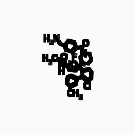 CC(=O)NCCC[C@@](O)(c1cccc(Cl)c1-c1cccc(C)c1)[C@@H]1CCCN(C(=O)c2ccc(CN)cc2F)C1